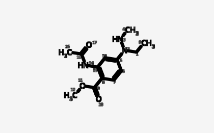 CCN(NC)c1ccc(C(=O)OC)c(NC(C)=O)c1